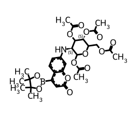 CC(=O)OCC1OC(OC(C)=O)[C@@H](Nc2ccc3c(B4OC(C)(C)C(C)(C)O4)cc(=O)oc3c2)C(OC(C)=O)[C@@H]1OC(C)=O